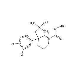 CC(C)(O)CC1(c2ccc(Cl)c(Cl)c2)CCCN(C(=O)OC(C)(C)C)C1